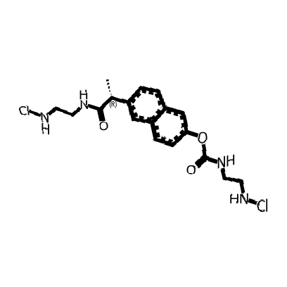 C[C@@H](C(=O)NCCNCl)c1ccc2cc(OC(=O)NCCNCl)ccc2c1